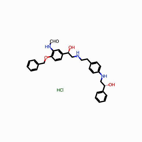 Cl.O=CNc1cc([C@@H](O)CNCCc2ccc(NC[C@H](O)c3ccccc3)cc2)ccc1OCc1ccccc1